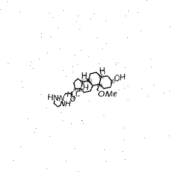 COC[C@]12CC[C@@H](O)C[C@@H]1CC[C@@H]1C2CC[C@]2(C)[C@@H](C(=O)CN3NCCN3)CC[C@@H]12